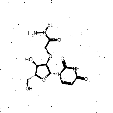 CCN(N)C(=O)CO[C@@H]1[C@H](O)[C@@H](CO)O[C@H]1n1ccc(=O)[nH]c1=O